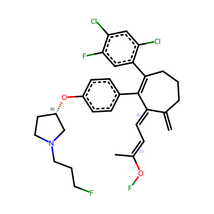 C=C1CCCC(c2cc(F)c(Cl)cc2Cl)=C(c2ccc(O[C@H]3CCN(CCCF)C3)cc2)/C1=C/C=C(\C)OF